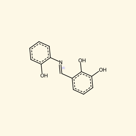 Oc1ccccc1/N=C/c1cccc(O)c1O